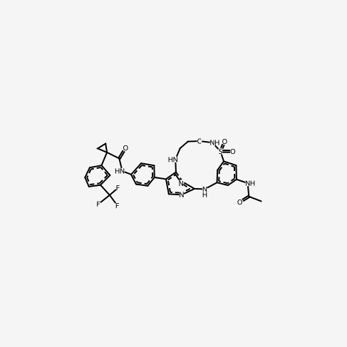 CC(=O)Nc1cc2cc(c1)S(=O)(=O)NCCCNc1nc(ncc1-c1ccc(NC(=O)C3(c4cccc(C(F)(F)F)c4)CC3)cc1)N2